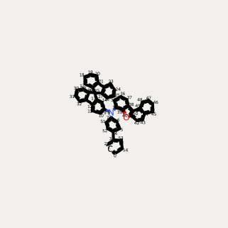 c1ccc(-c2ccc(N(c3ccc4c(c3)C3(c5ccccc5-c5ccccc53)c3ccccc3-4)c3cccc4c3oc3ccc5ccccc5c34)cc2)cc1